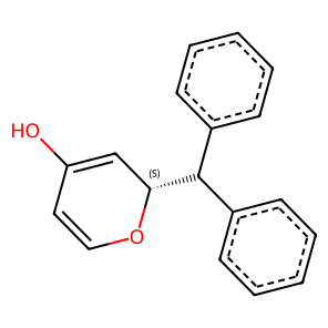 OC1=C[C@H](C(c2ccccc2)c2ccccc2)OC=C1